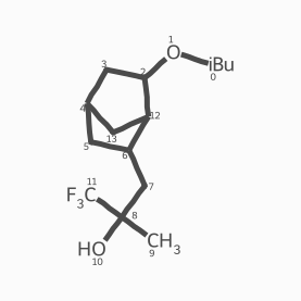 CCC(C)OC1CC2CC(CC(C)(O)C(F)(F)F)C1C2